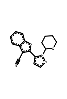 N#Cc1c(-c2ccnn2C2CCCCO2)sc2ccccc12